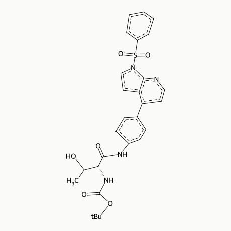 CC(O)[C@@H](NC(=O)OC(C)(C)C)C(=O)Nc1ccc(-c2ccnc3c2ccn3S(=O)(=O)c2ccccc2)cc1